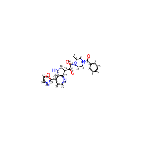 CC1CN(C(=O)c2ccccc2)CCN1C(=O)C(=O)C1CNc2c(-c3ncco3)ccnc21